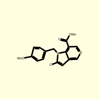 COC(=O)c1cncc2cc(Cl)n(Cc3ccc(OC)cc3)c12